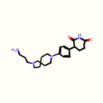 NCCCN1CCC2(CCN(c3ccc(C4CCC(=O)NC4=O)cc3)CC2)C1